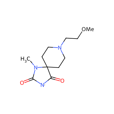 COCCN1CCC2(CC1)C(=O)[N]C(=O)N2C